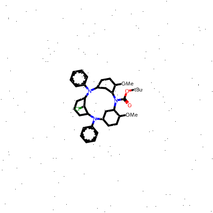 COC1CCC2CC1N(C(=O)OC(C)(C)C)C1CC(CCC1OC)N(c1ccccc1)C1CCCC(C1Cl)N2c1ccccc1